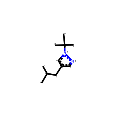 CC(C)Cc1cnn(C(C)(C)C)c1